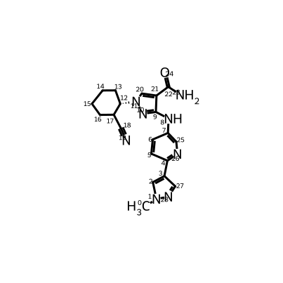 Cn1cc(-c2ccc(Nc3nn([C@H]4CCCCC4C#N)cc3C(N)=O)cn2)cn1